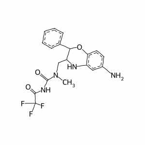 CN(CC1Nc2cc(N)ccc2OC1c1ccccc1)C(=O)NC(=O)C(F)(F)F